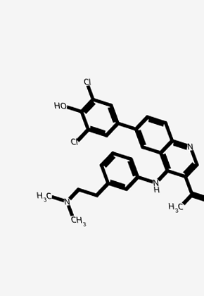 CC(=O)c1cnc2ccc(-c3cc(Cl)c(O)c(Cl)c3)cc2c1Nc1cccc(CCN(C)C)c1